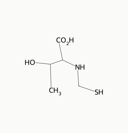 CC(O)C(NCS)C(=O)O